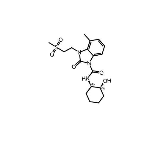 Cc1cccc2c1n(CCS(C)(=O)=O)c(=O)n2C(=O)N[C@@H]1CCCC[C@@H]1O